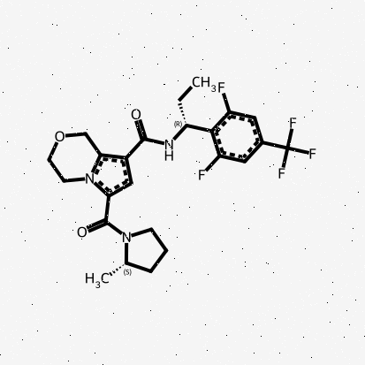 CC[C@@H](NC(=O)c1cc(C(=O)N2CCC[C@@H]2C)n2c1COCC2)c1c(F)cc(C(F)(F)F)cc1F